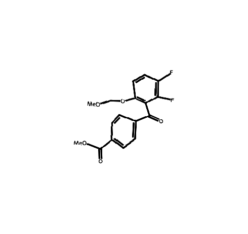 COCOc1ccc(F)c(F)c1C(=O)c1ccc(C(=O)OC)cc1